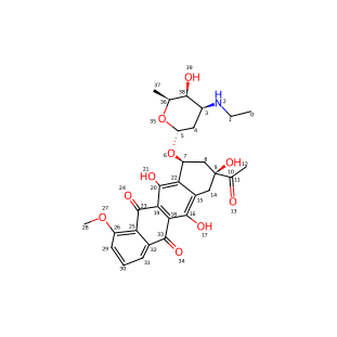 CCN[C@H]1C[C@H](O[C@H]2C[C@](O)(C(C)=O)Cc3c(O)c4c(c(O)c32)C(=O)c2c(OC)cccc2C4=O)O[C@@H](C)[C@H]1O